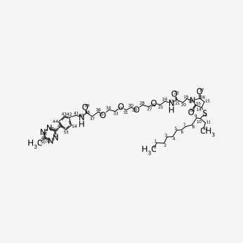 CCCCCCCCCCC(CC)SC1CC(=O)N(CCC(=O)NCCOCCOCCOCCOCCC(=O)NCc2ccc(-c3nnc(C)nn3)cc2)C1=O